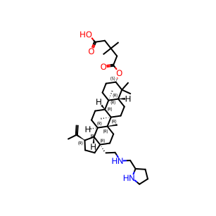 C=C(C)[C@@H]1CC[C@]2(CCNCC3CCCN3)CC[C@]3(C)[C@H](CC[C@@H]4[C@@]5(C)CC[C@H](OC(=O)CC(C)(C)CC(=O)O)C(C)(C)[C@@H]5CC[C@]43C)[C@@H]12